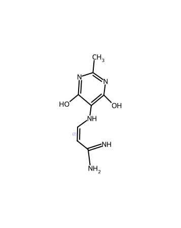 Cc1nc(O)c(N/C=C\C(=N)N)c(O)n1